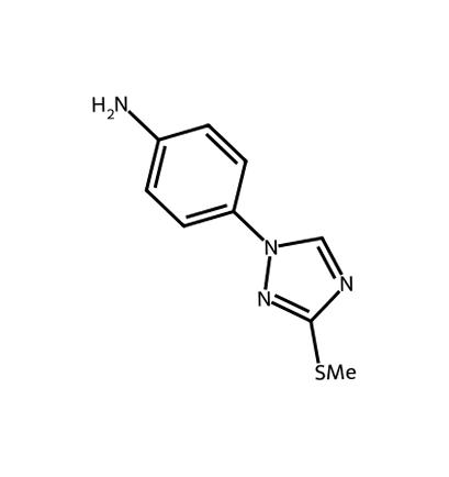 CSc1ncn(-c2ccc(N)cc2)n1